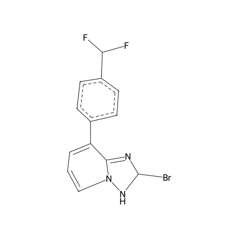 FC(F)c1ccc(C2=CC=CN3NC(Br)N=C23)cc1